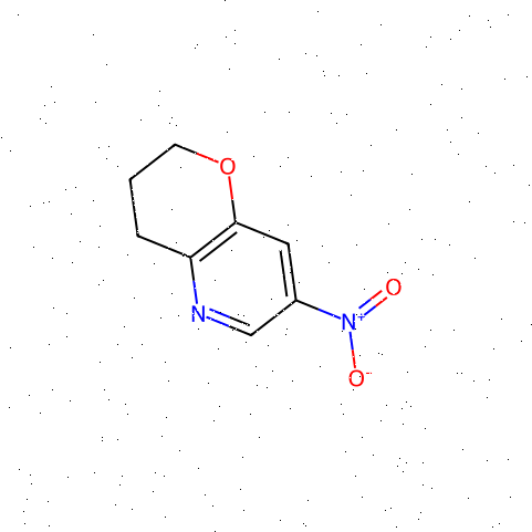 O=[N+]([O-])c1cnc2c(c1)OCCC2